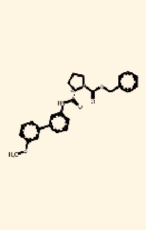 COc1cccc(-c2cccc(NC(=O)[C@@H]3CCCN3C(=O)OCc3ccccc3)c2)c1